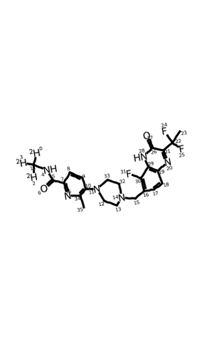 [2H]C([2H])([2H])NC(=O)c1ccc(N2CCN(Cc3ccc4nc(C(C)(F)F)c(=O)[nH]c4c3F)CC2)c(C)n1